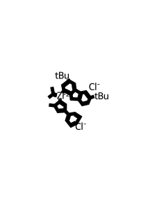 C[C](C)=[Zr+2]([C]1=CC(c2ccccc2)=CC1C)[c]1cc(C(C)(C)C)cc2c1Cc1ccc(C(C)(C)C)cc1-2.[Cl-].[Cl-]